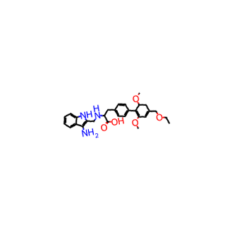 CCOCC1=CC(OC)=C(c2ccc(CC(NCc3[nH]c4ccccc4c3N)C(=O)O)cc2)C(OC)C1